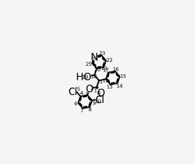 O=C(Oc1c(Cl)cccc1Cl)C(c1ccccc1)C(O)c1cccnc1